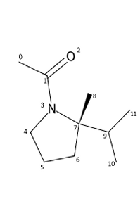 CC(=O)N1CCC[C@@]1(C)C(C)C